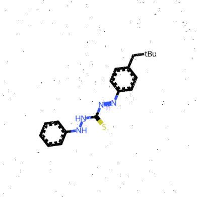 CC(C)(C)Cc1ccc(/N=N/C(=S)NNc2ccccc2)cc1